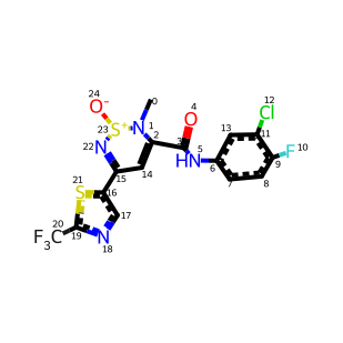 CN1C(C(=O)Nc2ccc(F)c(Cl)c2)=CC(c2cnc(C(F)(F)F)s2)=N[S+]1[O-]